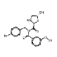 CCOc1cccc(C(=O)N(Cc2ccc(Br)cc2)C(=O)[C@@H]2C[C@@H](O)CN2)c1